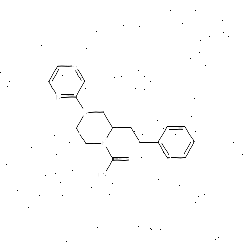 NC(=S)N1CCN(c2cnccn2)CC1CCc1ccccc1